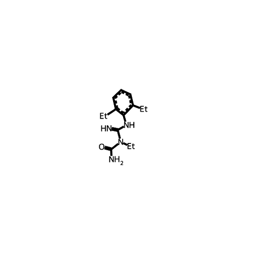 CCc1cccc(CC)c1NC(=N)N(CC)C(N)=O